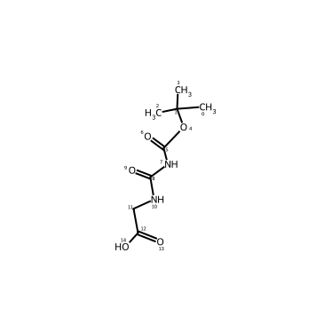 CC(C)(C)OC(=O)NC(=O)NCC(=O)O